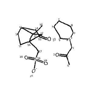 CC(=O)C[S+]1CCCCC1.CC1(C)C2CCC1(CS(=O)(=O)[O-])C(=O)C2